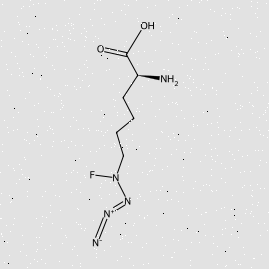 [N-]=[N+]=NN(F)CCCC[C@H](N)C(=O)O